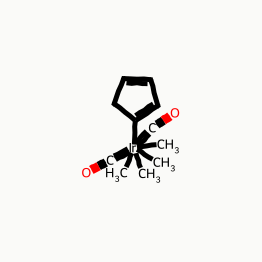 [CH3][Ir]([CH3])([CH3])([CH3])(=[C]=O)(=[C]=O)[C]1=CC=CC1